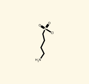 NCCCCS(=O)(=O)Cl